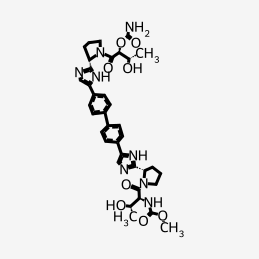 COC(=O)N[C@H](C(=O)N1CCC[C@H]1c1ncc(-c2ccc(-c3ccc(-c4cnc([C@@H]5CCCN5C(=O)[C@@H](OC(N)=O)[C@H](C)O)[nH]4)cc3)cc2)[nH]1)[C@H](C)O